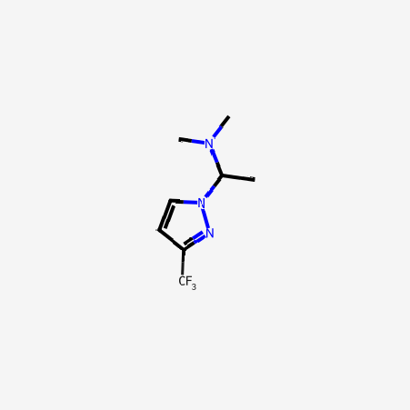 CC(N(C)C)n1c[c]c(C(F)(F)F)n1